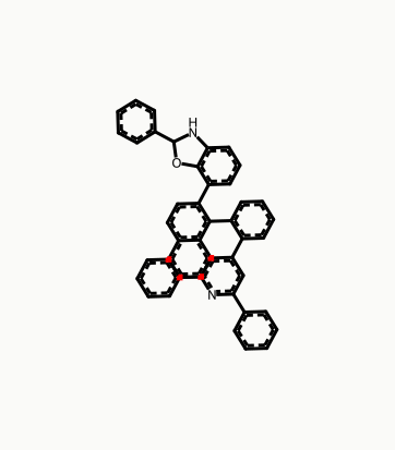 c1ccc(-c2cc(-c3ccccc3-c3c(-c4cccc5c4OC(c4ccccc4)N5)ccc4ccccc34)cc(-c3ccccc3)n2)cc1